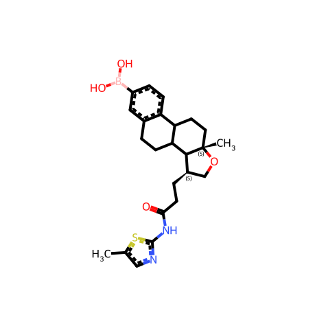 Cc1cnc(NC(=O)CC[C@@H]2CO[C@@]3(C)CCC4c5ccc(B(O)O)cc5CCC4C23)s1